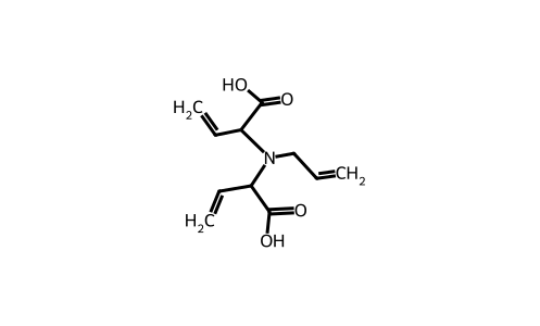 C=CCN(C(C=C)C(=O)O)C(C=C)C(=O)O